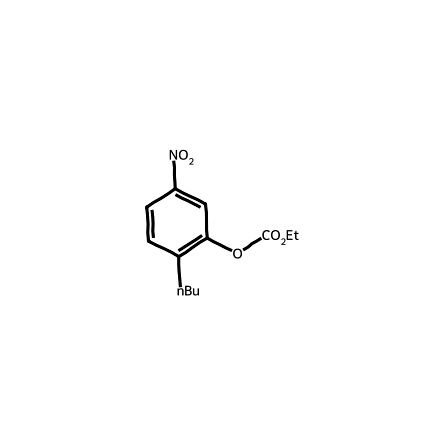 CCCCc1ccc([N+](=O)[O-])cc1OC(=O)OCC